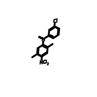 Cc1cc([N+](=O)[O-])c(C)cc1N(C)c1cccc(Cl)c1